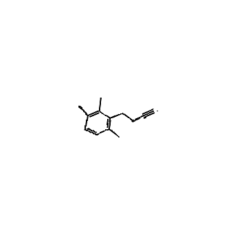 [C]#CCCc1c(C)ccc(C)c1C